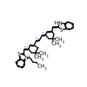 CCCC[n+]1c(/C=C2C=C(/C=C/C=C3C=C(/C=C4/Nc5ccccc5S4)CC(C)(C)C/3)CC(C)(C)C/2)sc2ccccc21